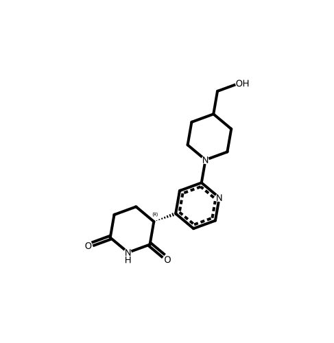 O=C1CC[C@H](c2ccnc(N3CCC(CO)CC3)c2)C(=O)N1